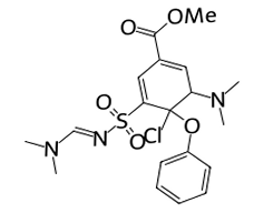 COC(=O)C1=CC(N(C)C)C(Cl)(Oc2ccccc2)C(S(=O)(=O)N=CN(C)C)=C1